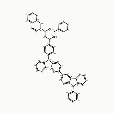 N/C(=N\C(NCc1ccccc1)c1ccc(-n2c3ccccc3c3cc(-c4ccc5c(c4)c4ccccc4n5-c4ccccc4)ccc32)cc1)c1ccc2ccccc2c1